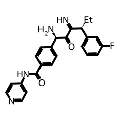 CC[C@@H](C(=N)C(=O)[C@H](N)c1ccc(C(=O)Nc2ccncc2)cc1)c1cccc(F)c1